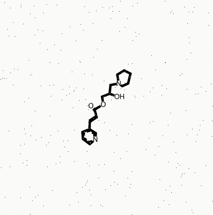 O=C(C=Cc1cccnc1)OCC(O)CN1CCCCC1